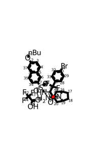 CCCCOc1ccc2cc(S(=O)(=O)N[C@@H](C(=O)N3C4CCC3CC(N)C4)C(F)(F)c3ccc(Br)cc3)ccc2c1.O=C(O)C(F)(F)F